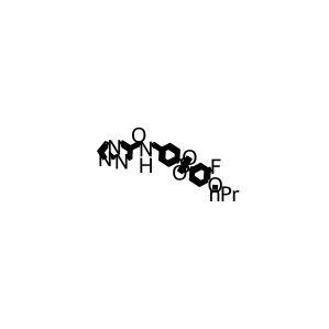 CCCOc1ccc(S(=O)(=O)c2ccc(CNC(=O)c3cnc4nccn4c3)cc2)cc1F